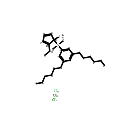 CCCCCCc1cc(CCCCCC)cc([Si](C)(C)[C]2([Ti+3])C=CC=C2CC)c1.[Cl-].[Cl-].[Cl-]